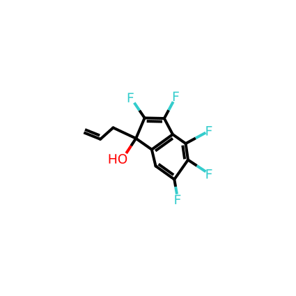 C=CCC1(O)C(F)=C(F)c2c1cc(F)c(F)c2F